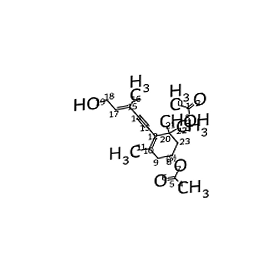 CC(=O)O.CC(=O)O[C@@H]1CC(C)=C(C#CC(C)=CCO)C(C)(C)C1